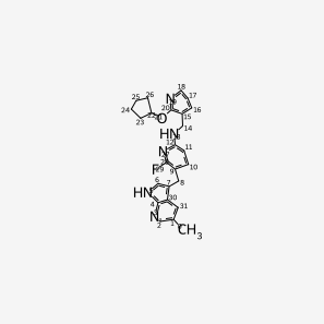 Cc1cnc2[nH]cc(Cc3ccc(NCc4cccnc4OC4CCCC4)nc3F)c2c1